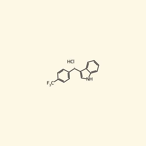 Cl.FC(F)(F)c1ccc([CH]c2c[nH]c3ccccc23)cc1